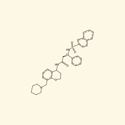 O=C(C[C@@H](NS(=O)(=O)c1ccc2ccccc2c1)c1ccccc1)NC1CCOc2c(CN3CCCCC3)cccc21